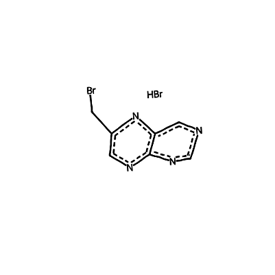 Br.BrCc1cnc2ncncc2n1